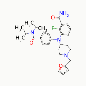 CC(C)N(C(=O)c1ccc(N(c2cccc(C(N)=O)c2F)C2CCN(Cc3ccco3)CC2)cc1)C(C)C